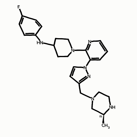 C[C@H]1CN(Cc2ccn(-c3cccnc3N3CCC(Nc4ccc(F)cc4)CC3)n2)CCN1